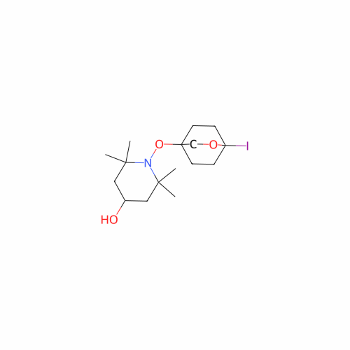 CC1(C)CC(O)CC(C)(C)N1OC12CCC(I)(CC1)OC2